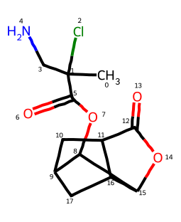 CC(Cl)(CN)C(=O)OC1C2CC3C(=O)OC1C3C2